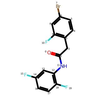 O=C(Cc1ccc(Br)cc1F)Nc1cc(F)ccc1F